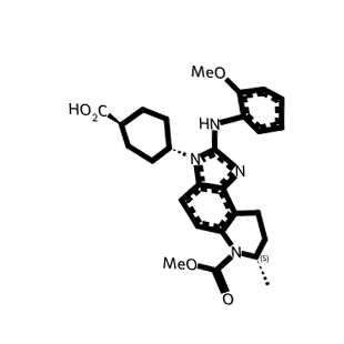 COC(=O)N1c2ccc3c(nc(Nc4ccccc4OC)n3[C@H]3CC[C@H](C(=O)O)CC3)c2CC[C@@H]1C